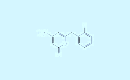 Cc1cc(Cc2ccccc2Cl)oc(=O)c1